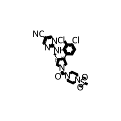 CS(=O)(=O)N1CCN(C(=O)N2C[C@H](CNc3ncc(C#N)cn3)[C@@H](c3ccc(Cl)c(Cl)c3)C2)CC1